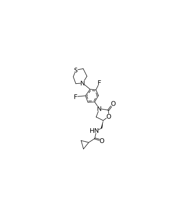 O=C(NC[C@H]1CN(c2cc(F)c(N3CCSCC3)c(F)c2)C(=O)O1)C1CC1